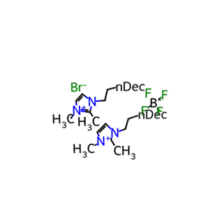 CCCCCCCCCCCCn1cc[n+](C)c1C.CCCCCCCCCCCCn1cc[n+](C)c1C.F[B-](F)(F)F.[Br-]